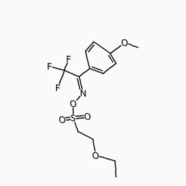 CCOCCS(=O)(=O)ON=C(c1ccc(OC)cc1)C(F)(F)F